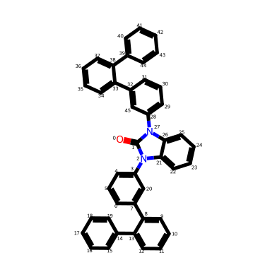 O=c1n(-c2cccc(-c3ccccc3-c3ccccc3)c2)c2ccccc2n1-c1cccc(-c2ccccc2-c2ccccc2)c1